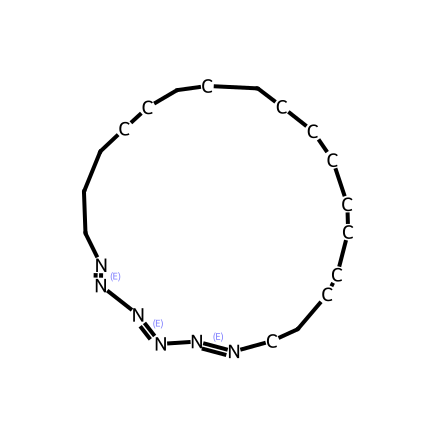 C1CCCCCCCC/N=N/N=N/N=N/CCCCCCCC1